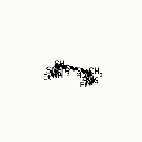 CCC1NC(=S)N(CC(C)(C)CCCSCCCSCCCC(C)(C)CN2C(=S)CN(CC)C2=S)C1=S